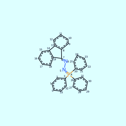 c1ccc(P(=NN=C2c3ccccc3-c3ccccc32)(c2ccccc2)c2ccccc2)cc1